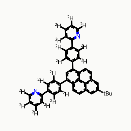 [2H]c1nc(-c2c([2H])c([2H])c(-c3cc(-c4c([2H])c([2H])c(-c5nc([2H])c([2H])c([2H])c5[2H])c([2H])c4[2H])c4ccc5cc(C(C)(C)C)cc6ccc3c4c65)c([2H])c2[2H])c([2H])c([2H])c1[2H]